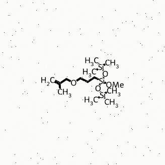 C=C(C)COCCC[Si](OC)(O[Si](C)(C)C)O[Si](C)(C)C